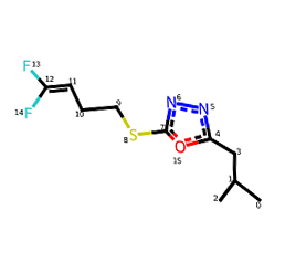 CC(C)Cc1nnc(SCCC=C(F)F)o1